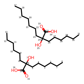 CCCCCCC(O)(CCCCCC)C(=O)O.CCCCCCCC(O)(CCCCCC)C(=O)O